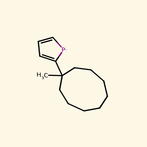 CC1(C2=CC=C[P]2)CCCCCCCC1